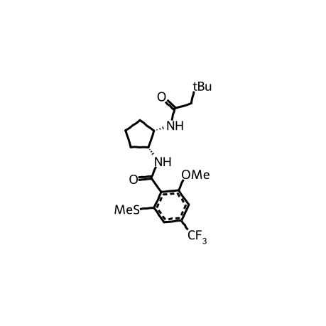 COc1cc(C(F)(F)F)cc(SC)c1C(=O)N[C@@H]1CCC[C@@H]1NC(=O)CC(C)(C)C